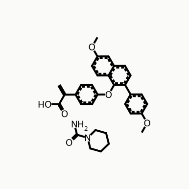 C=C(C(=O)O)c1ccc(Oc2c(-c3ccc(OC)cc3)ccc3cc(OC)ccc23)cc1.NC(=O)N1CCCCC1